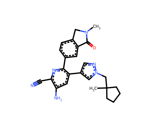 CN1Cc2ccc(-c3nc(C#N)c(N)cc3-c3cnn(CC4(C)CCCC4)c3)cc2C1=O